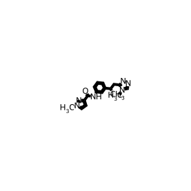 CC(Cc1nncn1C)c1cccc(NC(=O)c2ccn(C)n2)c1